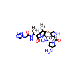 CC(NC(=O)Cn1cnnn1)[C@H]1C(=O)N2C(C(=O)O)=C(S[C@@H]3CN[C@H](C(=O)N4C[C@H](N)C[C@@H]4CN)C3)[C@H](C)[C@H]12